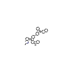 C=C/C=C\c1c(C)cccc1-n1c2ccc(-c3ccc4c(c3)c3ccccc3n4-c3ccc4ccccc4c3)cc2c2c3c(ccc21)sc1ccccc13